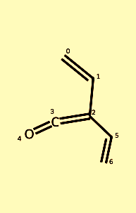 C=CC(=C=O)C=C